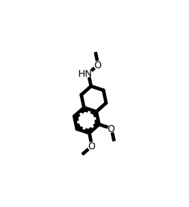 CONC1CCc2c(ccc(OC)c2OC)C1